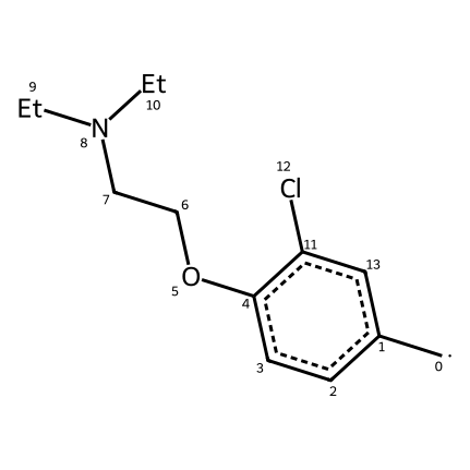 [CH2]c1ccc(OCCN(CC)CC)c(Cl)c1